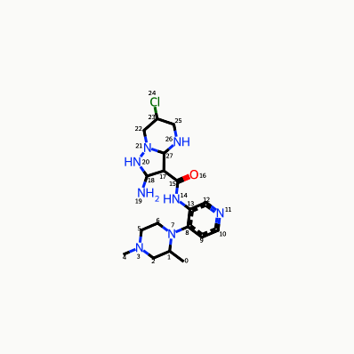 CC1CN(C)CCN1c1ccncc1NC(=O)C1C(N)NN2CC(Cl)CNC12